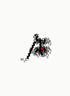 CCCCCCCCCCCCCC(=O)OC(c1cnco1)c1nc(C(CC(O[Si](C)(C)C(C)(C)C)C(O[Si](C)(C)C(C)(C)C)C(C)O[Si](C)(C)C(C)(C)C)O[Si](C)(C)C(C)(C)C)co1